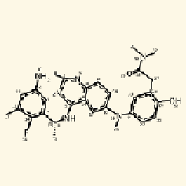 Cc1nc(N[C@H](C)c2cc(N)cc(C)c2F)c2cc(N(C)c3ccc(O)c(CC(=O)N(C)C)c3)ccc2n1